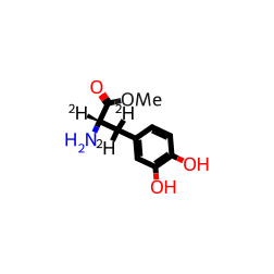 [2H]C([2H])(c1ccc(O)c(O)c1)[C@]([2H])(N)C(=O)OC